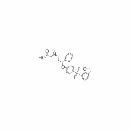 CN(CCC(Oc1ccc(C(F)(F)c2cccc3c2OCC3)cc1)c1ccccc1)CC(=O)O